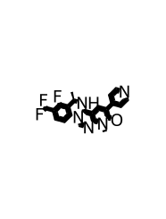 C[C@@H](Nc1ncnc2c1cc(-c1ccncc1)c(=O)n2C)c1cccc(C(F)F)c1F